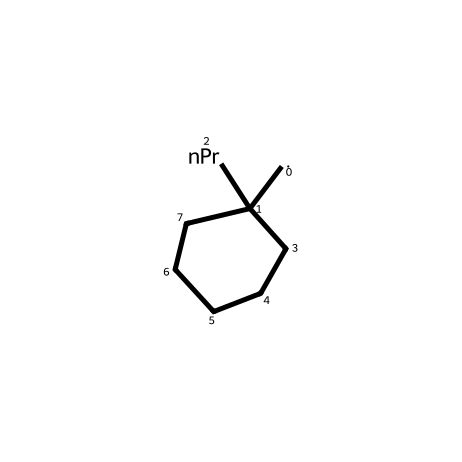 [CH2]C1(CCC)CCCCC1